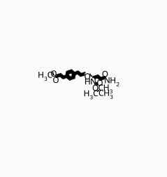 COC(=O)CCc1ccc(CCCOC[C@H](CCC(N)=O)NC(=O)OC(C)(C)C)cc1